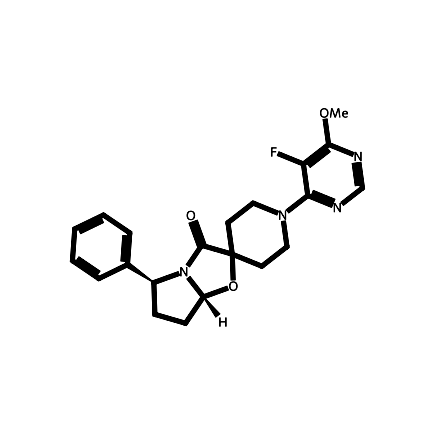 COc1ncnc(N2CCC3(CC2)O[C@@H]2CC[C@@H](c4ccccc4)N2C3=O)c1F